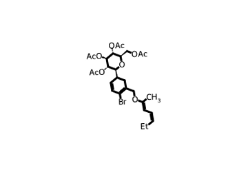 CC/C=C\C=C(/C)OCC1=C(Br)C=CC([C@@H]2O[C@H](COC(C)=O)[C@@H](OC(C)=O)[C@H](OC(C)=O)[C@H]2OC(C)=O)C1